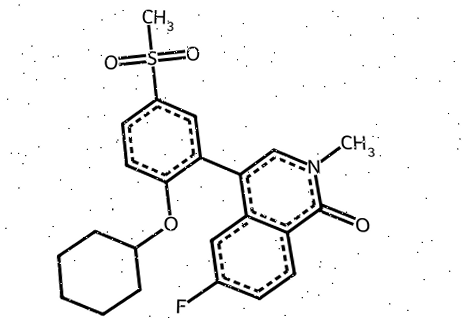 Cn1cc(-c2cc(S(C)(=O)=O)ccc2OC2CCCCC2)c2cc(F)ccc2c1=O